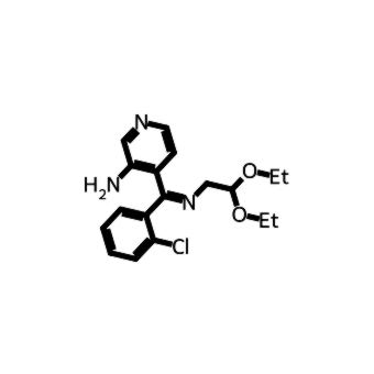 CCOC(C/N=C(\c1ccncc1N)c1ccccc1Cl)OCC